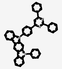 c1ccc(-c2cc(-c3ccc(-n4c5ccccc5c5cc6c7ccccc7n(-c7ccccc7)c6cc54)cc3)nc(-c3ccccc3)n2)cc1